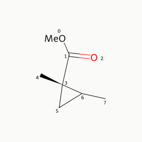 COC(=O)[C@@]1(C)CC1C